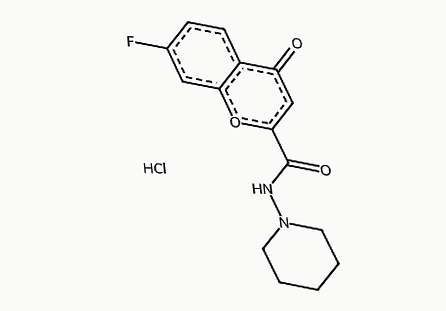 Cl.O=C(NN1CCCCC1)c1cc(=O)c2ccc(F)cc2o1